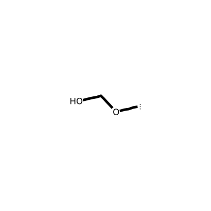 [C]OCO